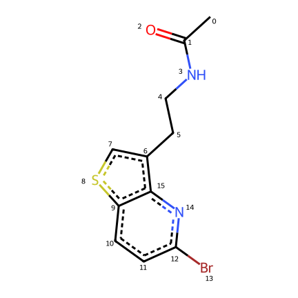 CC(=O)NCCc1csc2ccc(Br)nc12